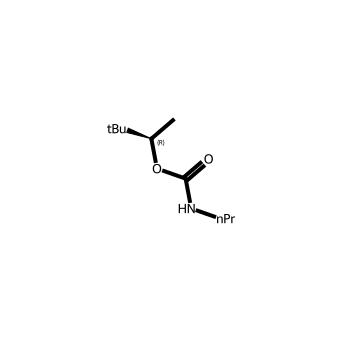 CCCNC(=O)O[C@H](C)C(C)(C)C